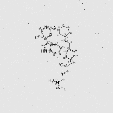 CN(C)CC=CC(=O)Nc1ccc(CN[C@H]2CCC[C@@H](Nc3ncc(Cl)c(-c4c[nH]c5ccccc45)n3)C2)cc1